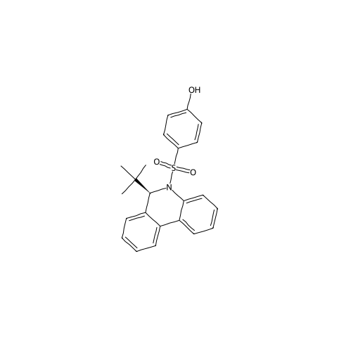 CC(C)(C)[C@@H]1c2ccccc2-c2ccccc2N1S(=O)(=O)c1ccc(O)cc1